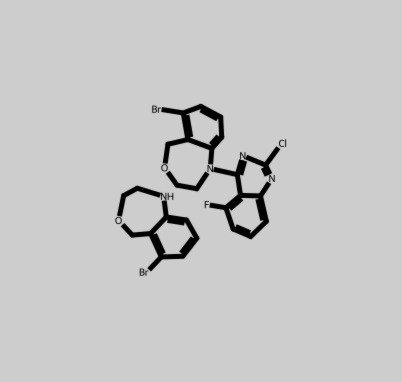 Brc1cccc2c1COCCN2.Fc1cccc2nc(Cl)nc(N3CCOCc4c(Br)cccc43)c12